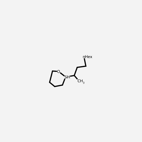 CCCCCCCCC(C)[SiH]1CCCCO1